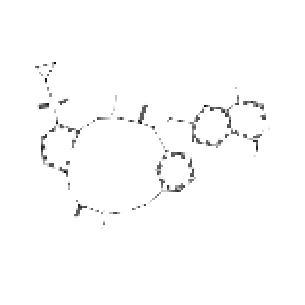 CN1CCc2cccc(c2)[C@@H](Nc2ccc3c(N)ncc(F)c3c2)C(=O)N(C)Cc2cc(ccc2S(=O)(=O)C2CC2)NC1=O